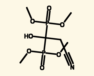 COP(=O)(OC)C(O)(CC#N)P(=O)(OC)OC